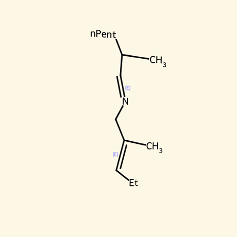 CC/C=C(\C)C/N=C/C(C)CCCCC